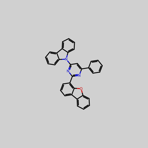 c1ccc(-c2cc(-n3c4ccccc4c4ccccc43)nc(-c3cccc4c3oc3ccccc34)n2)cc1